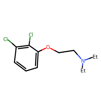 CCN(CC)CCOc1cccc(Cl)c1Cl